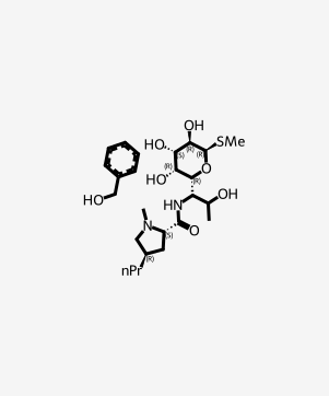 CCC[C@@H]1C[C@@H](C(=O)NC(C(C)O)[C@H]2O[C@H](SC)[C@H](O)[C@@H](O)[C@H]2O)N(C)C1.OCc1ccccc1